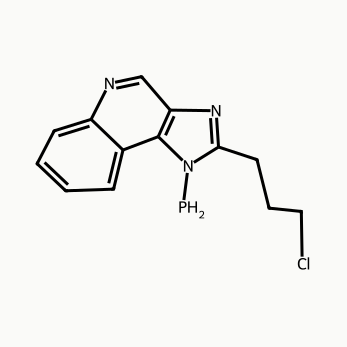 Pn1c(CCCCl)nc2cnc3ccccc3c21